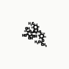 Cc1ccc2c(Sc3ccc(OC(C)C)cc3)cn([C@@H]3O[C@H](CO)[C@@H](O)[C@H](O)[C@H]3O)c2c1